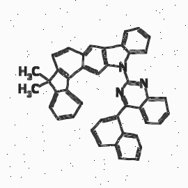 CC1(C)c2ccccc2-c2c1ccc1cc3c4ccccc4n(-c4nc(-c5cccc6ccccc56)c5ccccc5n4)c3cc21